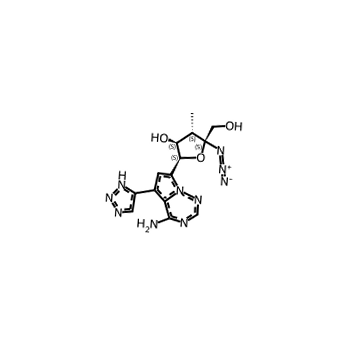 C[C@H]1[C@H](O)[C@H](c2cc(-c3cnn[nH]3)c3c(N)ncnn23)O[C@@]1(CO)N=[N+]=[N-]